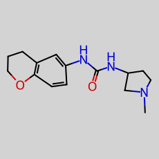 CN1CCC(NC(=O)Nc2ccc3c(c2)CCCO3)C1